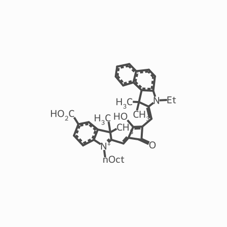 CCCCCCCC[N+]1=C(C=C2C(=O)C(C=C3N(CC)c4ccc5ccccc5c4C3(C)C)=C2O)C(C)(C)c2cc(C(=O)O)ccc21